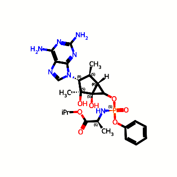 CC(C)OC(=O)[C@H](C)N[P@@](=O)(Oc1ccccc1)OC1[C@H]2[C@H](C)[C@@H](n3cnc4c(N)nc(N)nc43)[C@](C)(O)[C@@]12O